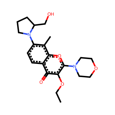 CCOc1c(N2CCOCC2)oc2c(C)c(N3CCCC3CO)ccc2c1=O